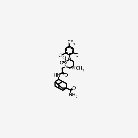 C[C@@H]1CN(CC(=O)NC2C3CC4CC2CC(C(N)=O)(C4)C3)S(=O)(=O)N(c2c(Cl)cc(C(F)(F)F)cc2Cl)C1